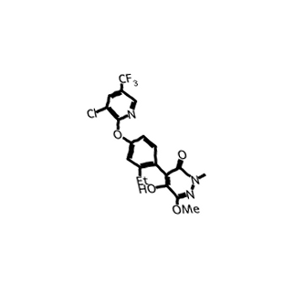 CCc1cc(Oc2ncc(C(F)(F)F)cc2Cl)ccc1-c1c(O)c(OC)nn(C)c1=O